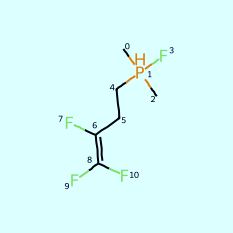 C[PH](C)(F)CCC(F)=C(F)F